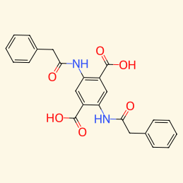 O=C(Cc1ccccc1)Nc1cc(C(=O)O)c(NC(=O)Cc2ccccc2)cc1C(=O)O